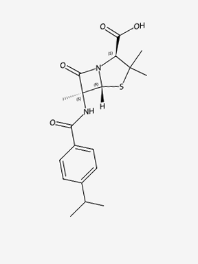 CC(C)c1ccc(C(=O)N[C@@]2(C)C(=O)N3[C@@H](C(=O)O)C(C)(C)S[C@@H]32)cc1